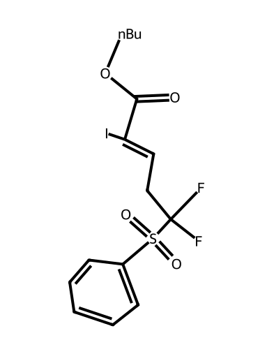 CCCCOC(=O)/C(I)=C/CC(F)(F)S(=O)(=O)c1ccccc1